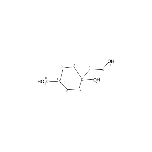 O=C(O)N1CCC(O)(CCO)CC1